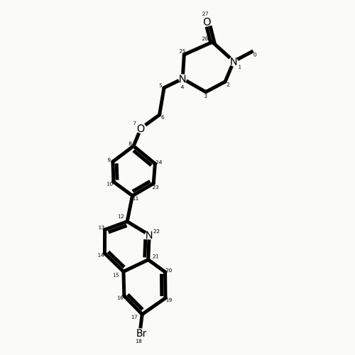 CN1CCN(CCOc2ccc(-c3ccc4cc(Br)ccc4n3)cc2)CC1=O